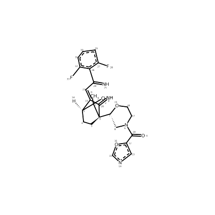 CC1(C)[C@H]2CC[C@]1([C@H]1CN(C(=O)c3cnco3)CCO1)C(=N)/C2=C\C(=N)c1c(F)cccc1F